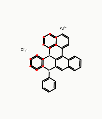 [Cl-].[Cl-].[Pd+2].c1ccc(P(c2ccccc2)c2cc3ccccc3c(-c3cccc4ccccc34)c2P(c2ccccc2)c2ccccc2)cc1